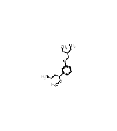 CCC(CC)COc1cccc(C(CCN)OC)c1